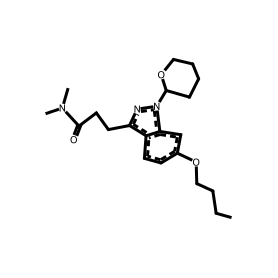 CCCCOc1ccc2c(CCC(=O)N(C)C)nn(C3CCCCO3)c2c1